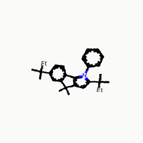 CCC(C)(C)c1ccc2c(c1)C(C)(C)c1cc(C(C)(C)CC)n(-c3ccccc3)c1-2